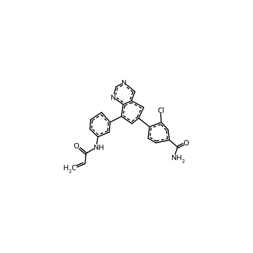 C=CC(=O)Nc1cccc(-c2cc(-c3ccc(C(N)=O)cc3Cl)cc3cncnc23)c1